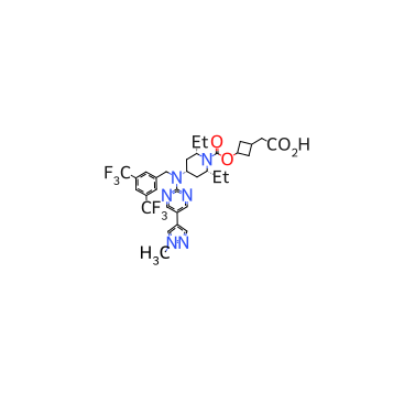 CC[C@@H]1C[C@H](N(Cc2cc(C(F)(F)F)cc(C(F)(F)F)c2)c2ncc(-c3cnn(C)c3)cn2)C[C@H](CC)N1C(=O)OC1CC(CC(=O)O)C1